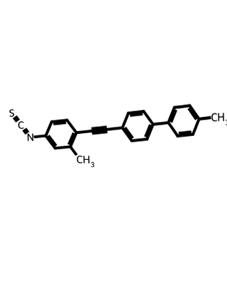 Cc1ccc(-c2ccc(C#Cc3ccc(N=C=S)cc3C)cc2)cc1